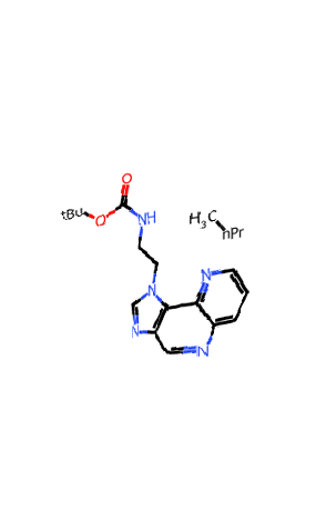 CC(C)(C)OC(=O)NCCn1cnc2cnc3cccnc3c21.CCCC